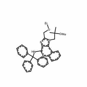 CCOCc1nc2c(NC(c3ccccc3)(c3ccccc3)c3ccccc3)nc3ccccc3c2n1CC(C)(C)OC